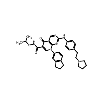 CC(C)ONC(=O)c1cn(-c2ccc3c(c2)CCC3)c2nc(Nc3ccc(CCN4CCCC4)cc3)ncc2c1=O